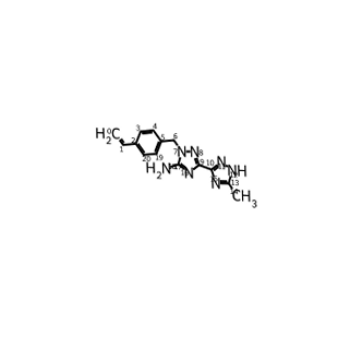 C=Cc1ccc(Cn2nc(-c3n[nH]c(C)n3)nc2N)cc1